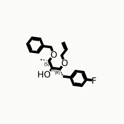 C=CCO[C@H](Cc1ccc(F)cc1)[C@@H](O)[C@H](C)OCc1ccccc1